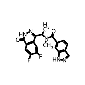 CC(c1n[nH]c(=O)c2cc(F)c(F)cc12)N(C)C(=O)c1ccc2cn[nH]c2c1